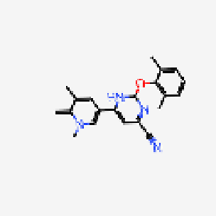 C=C1C(C)=CC(C2=CC(C#N)=NC(Oc3c(C)cccc3C)N2)=CN1C